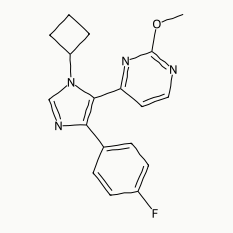 COc1nccc(-c2c(-c3ccc(F)cc3)ncn2C2CCC2)n1